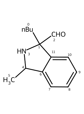 CCCCC1(C=O)NC(C)c2ccccc21